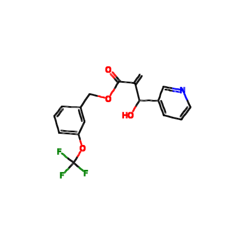 C=C(C(=O)OCc1cccc(OC(F)(F)F)c1)C(O)c1cccnc1